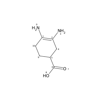 NC1=C(N)CC(C(=O)O)CC1